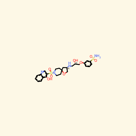 NS(=O)(=O)c1cccc(OC[C@@H](O)CN[C@H]2COC3(CCN(S(=O)(=O)c4cnc5ccccc5c4O)CC3)C2)c1